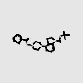 CC(C)(C)OC(=O)N1CCc2c(N3CCN(OC(=O)c4ccccc4)CC3)cccc21